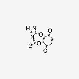 NC(=O)N=S(=O)=O.O=C1C=CC(=O)C=C1